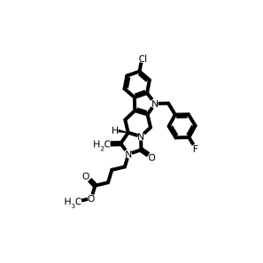 C=C1[C@@H]2Cc3c(n(Cc4ccc(F)cc4)c4cc(Cl)ccc34)CN2C(=O)N1CCCC(=O)OC